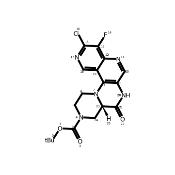 CC(C)(C)OC(=O)N1CCN2c3c(cnc4c(F)c(Cl)ncc34)NC(=O)[C@@H]2C1